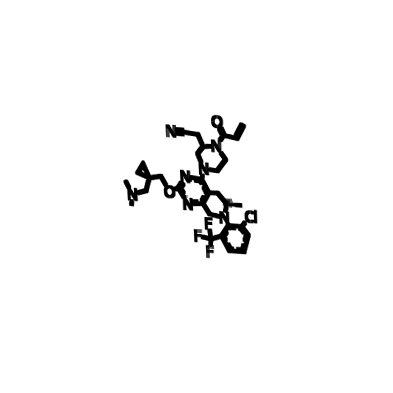 C=CC(=O)N1CCN(c2nc(OCC3(CN(C)C)CC3)nc3c2C[C@@H](C)N(c2c(Cl)cccc2C(F)(F)F)C3)CC1CC#N